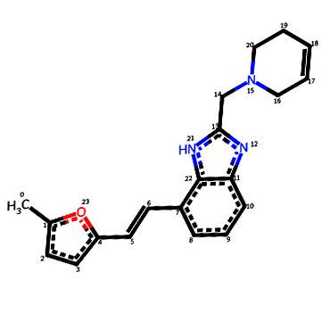 Cc1ccc(C=Cc2cccc3nc(CN4CC=CCC4)[nH]c23)o1